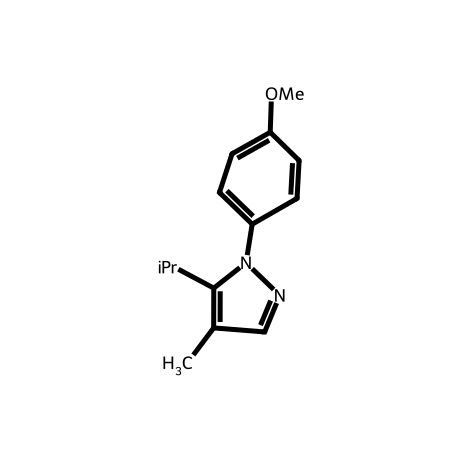 COc1ccc(-n2ncc(C)c2C(C)C)cc1